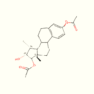 CC(=O)Oc1ccc2c(c1)CCC1C2CC[C@@]2(C)C1[C@@H](C)[C@@H](O)C2OC(C)=O